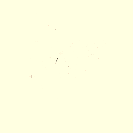 CC1(C)O[C@@H](C(O)(c2cccc3c2ccc2ccccc23)c2cccc3c2ccc2ccccc23)[C@H](C(O)(c2cccc3c2ccc2ccccc23)c2cccc3c2ccc2ccccc23)O1